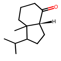 CC(C)C1CC[C@H]2C(=O)CCCC12C